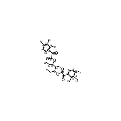 CCC(OC(=O)C(=O)c1ccc(C)c(C)c1C)C(C)C(CC)OC(=O)C(=O)c1ccc(C)c(C)c1C